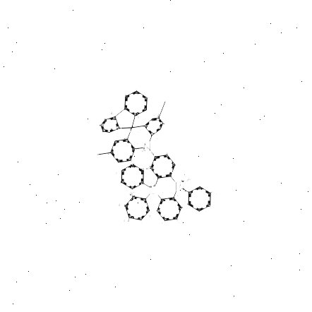 Cc1ccc2c(c1)C1(c3ccccc3-c3ccccc31)c1cc(C)ccc1N2c1ccc2c(c1)[Si](c1ccccc1)(c1ccccc1)c1ccccc1P2(=S)c1ccccc1